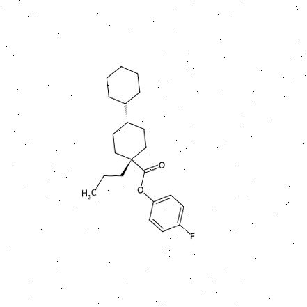 CCC[C@]1(C(=O)Oc2ccc(F)cc2)CC[C@@H](C2CCCCC2)CC1